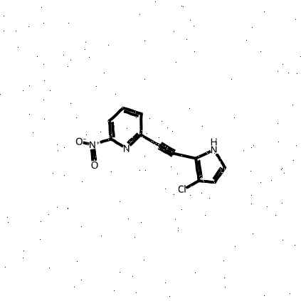 O=[N+]([O-])c1cccc(C#Cc2[nH]ccc2Cl)n1